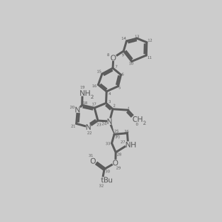 C=Cc1c(-c2ccc(Oc3ccccc3)cc2)c2c(N)ncnc2n1[C@H]1CNC(OC(=O)C(C)(C)C)C1